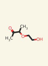 CC(=O)C(C)OCCO